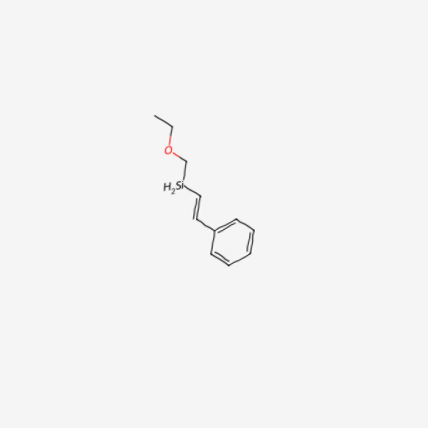 CCOC[SiH2]C=Cc1ccccc1